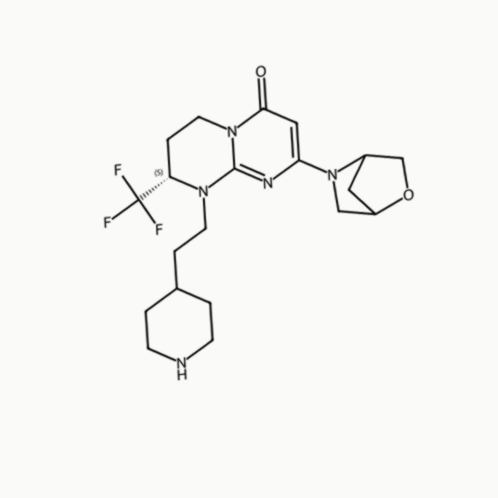 O=c1cc(N2CC3CC2CO3)nc2n1CC[C@@H](C(F)(F)F)N2CCC1CCNCC1